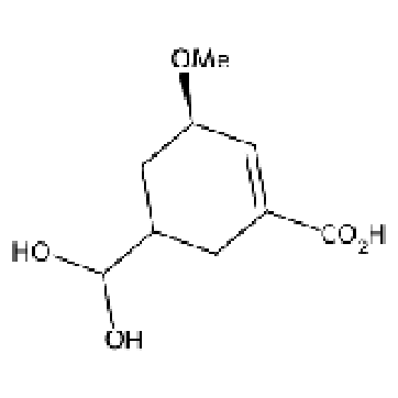 CO[C@H]1C=C(C(=O)O)CC(C(O)O)C1